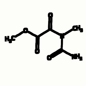 COC(=O)C(=O)N(C)C(N)=O